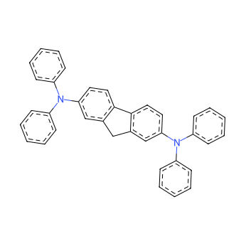 c1ccc(N(c2ccccc2)c2ccc3c(c2)Cc2cc(N(c4ccccc4)c4ccccc4)ccc2-3)cc1